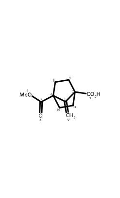 C=C1C2(C(=O)O)CCC1(C(=O)OC)CC2